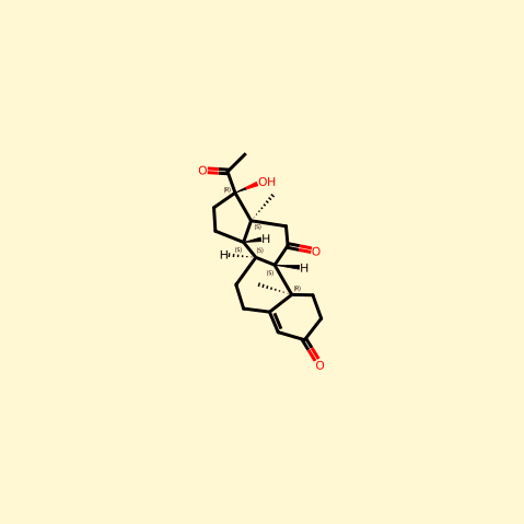 CC(=O)[C@@]1(O)CC[C@H]2[C@@H]3CCC4=CC(=O)CC[C@]4(C)[C@H]3C(=O)C[C@@]21C